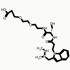 CNN(C)Cc1cc2ccccc2n1CCC(=O)N[C@@H](CO)C(=O)NCCOCCOCCC(=O)O